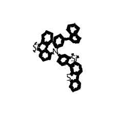 C[Si]1(C)c2ccccc2-c2c(N(c3cccc(-c4cccc5ccccc45)c3)c3ccc4c(c3)[Si](C)(C)c3ccc5c(sc6ccccc65)c3-4)cccc21